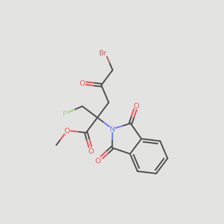 COC(=O)C(CF)(CC(=O)CBr)N1C(=O)c2ccccc2C1=O